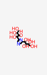 OC[C@H](O)[C@@H](O)[C@H](O)c1cncc([C@@H](O)[C@H](O)[C@@H](O)CO)n1